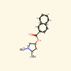 CC(C)(C)C1CC(OC(=O)c2ccc3ccccc3c2)CN1C(C)(C)C